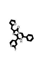 O=c1c(Cc2ccco2)nc2c(-c3ccnc(F)c3)[nH]c(-c3ccccc3)cn1-2